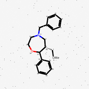 COC[C@H]1CN(Cc2ccccc2)CCOC1c1ccccc1